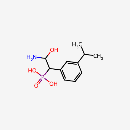 CC(C)c1cccc(C(C(N)O)P(=O)(O)O)c1